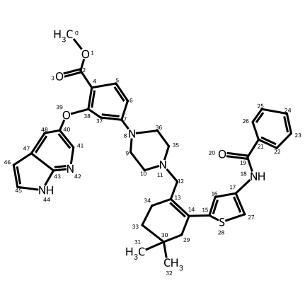 COC(=O)c1ccc(N2CCN(CC3=C(c4cc(NC(=O)c5ccccc5)cs4)CC(C)(C)CC3)CC2)cc1Oc1cnc2[nH]ccc2c1